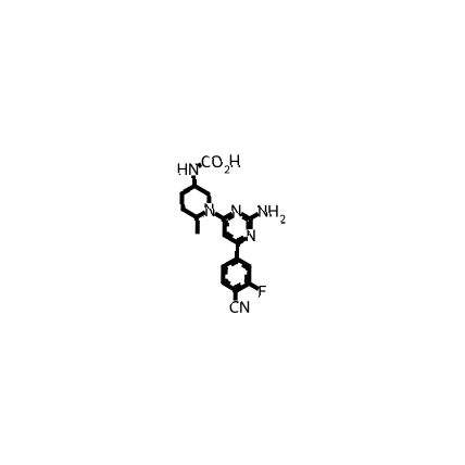 CC1CCC(NC(=O)O)CN1c1cc(-c2ccc(C#N)c(F)c2)nc(N)n1